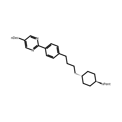 CCCCCCCCCCc1cnc(-c2ccc(CCCC[C@H]3CC[C@H](CCCCC)CC3)cc2)nc1